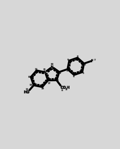 O=C(O)c1c(-c2ccc(F)cc2)nn2ccc(O)cc12